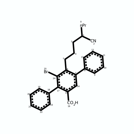 CCCC(C#N)CCCc1c(-c2ccccc2)cc(C(=O)O)c(-c2ccccc2)c1Br